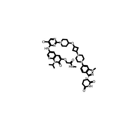 CNC(=O)COc1cc2cc(Nc3nc(N4CCC(OC5CC(N6CCN(c7ccc8c([C@H]9CCC(=O)NC9=O)nn(C)c8c7)CC6)C5)CC4)ncc3Cl)cnc2n(C(C)C)c1=O